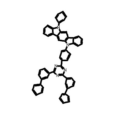 c1ccc(-c2cccc(-c3nc(-c4ccc(-n5c6ccccc6c6cc7c(cc65)c5ccccc5n7-c5ccccc5)cc4)nc(-c4cccc(-c5ccccc5)c4)n3)c2)cc1